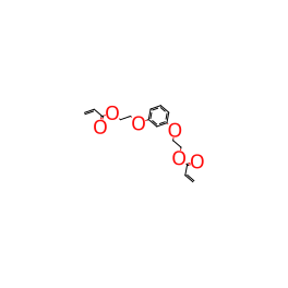 C=CC(=O)OCCOc1cccc(OCCOC(=O)C=C)c1